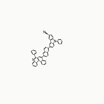 N#Cc1ccc2c(c1)c1cc(-c3ccc4cc(-c5cc6c(-c7ccccc7)nc7ccccc7c6c6ccccc56)ccc4c3)ccc1n2-c1ccccc1